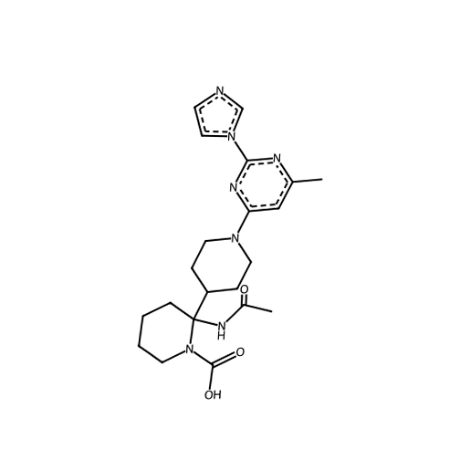 CC(=O)NC1(C2CCN(c3cc(C)nc(-n4ccnc4)n3)CC2)CCCCN1C(=O)O